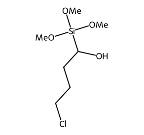 CO[Si](OC)(OC)C(O)CCCCl